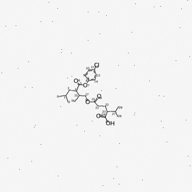 CC(C)CC(C(=O)Oc1ccc(Cl)cc1)C(C)COC(=O)CCC(C(=O)O)C(C)C